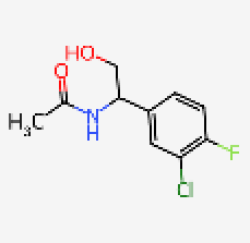 CC(=O)NC(CO)c1ccc(F)c(Cl)c1